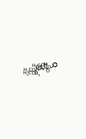 C[C@@H](O)[C@@H](CNC(=O)OCc1ccccc1)CN(C)C(=O)OC(C)(C)C